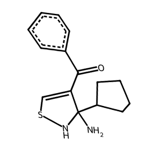 NC1(C2CCCC2)NSC=C1C(=O)c1ccccc1